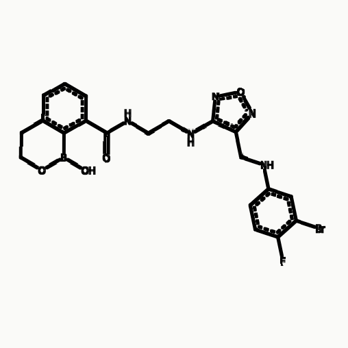 O=C(NCCNc1nonc1CNc1ccc(F)c(Br)c1)c1cccc2c1B(O)OCC2